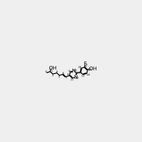 CC(O)CCC/C=C/c1cnc(-c2ccc(O)c(F)c2)nc1